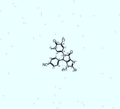 CC(C)n1c(Br)nc2c1C(c1ccc(C#N)cc1)N(c1cc(Cl)c(=O)n(C)c1)C2=O